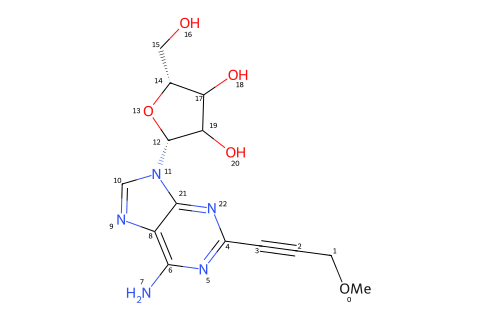 COCC#Cc1nc(N)c2ncn([C@@H]3O[C@H](CO)C(O)C3O)c2n1